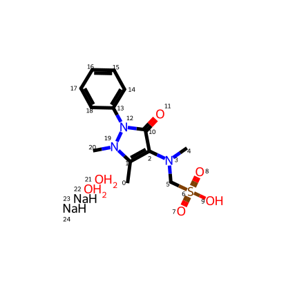 Cc1c(N(C)CS(=O)(=O)O)c(=O)n(-c2ccccc2)n1C.O.O.[NaH].[NaH]